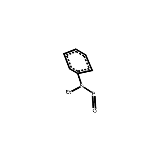 CCN(P=O)c1ccccc1